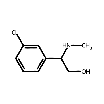 CNC(CO)c1cccc(Cl)c1